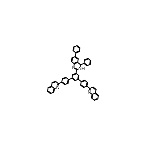 c1ccc(-c2ccc3c(c2)C(c2ccccc2)NC(c2cc(-c4ccc(-c5ccc6ccccc6n5)cc4)cc(-c4ccc(-c5ccc6ccccc6n5)cc4)c2)=N3)cc1